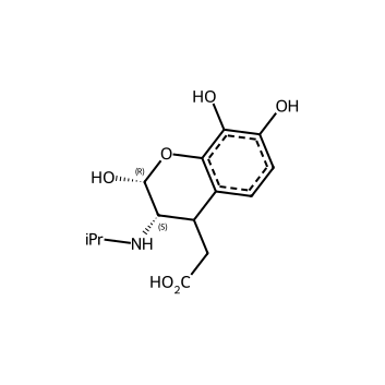 CC(C)N[C@H]1C(CC(=O)O)c2ccc(O)c(O)c2O[C@H]1O